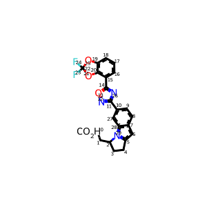 O=C(O)CC1CCc2cc3ccc(-c4noc(-c5cccc6c5OC(F)(F)O6)n4)cc3n21